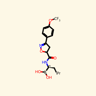 CC(C)C[C@H](NC(=O)C1CC(c2ccc(OC(F)(F)F)cc2)=NO1)B(O)O